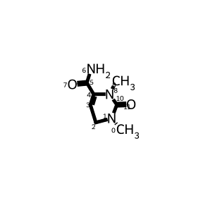 CN1CC=C(C(N)=O)N(C)C1=O